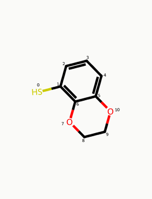 Sc1cccc2c1OCCO2